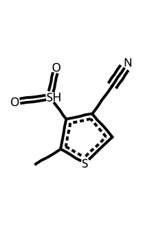 Cc1scc(C#N)c1[SH](=O)=O